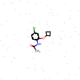 CC(=O)Nc1ccc(Br)cc1OC1CCC1